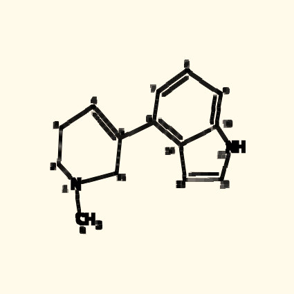 CN1CCC=C(c2cccc3[nH]ccc23)C1